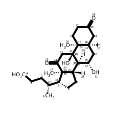 C[C@H](CCC(=O)O)[C@H]1CC[C@H]2[C@@H]3[C@@H](O)C[C@@H]4CC(=O)CC[C@]4(C)[C@@]3(O)CC(=O)[C@]12C